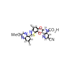 COc1cnc2c(-c3nc4c(C)cc5c(c4s3)OC[C@@H](CN(C(=O)O)c3cncc(C#N)c3)O5)cc(C)cc2n1